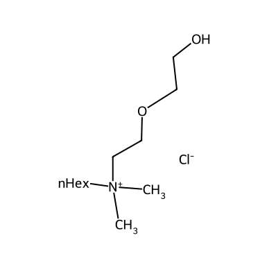 CCCCCC[N+](C)(C)CCOCCO.[Cl-]